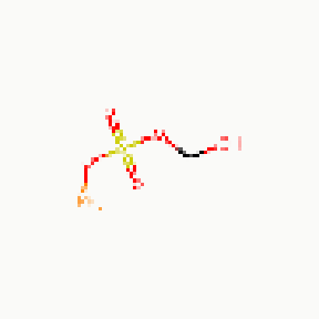 O=S(=O)(OP)OCO